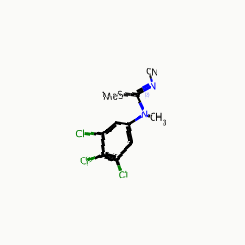 CS/C(=N\C#N)N(C)c1cc(Cl)c(Cl)c(Cl)c1